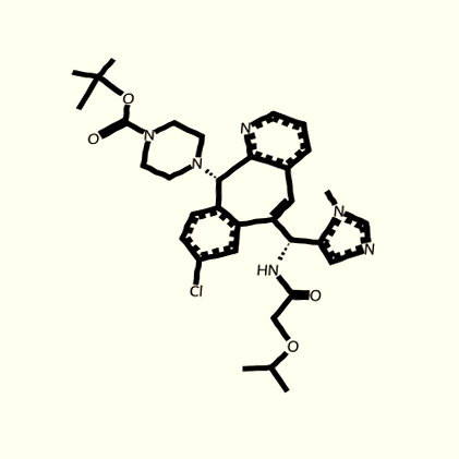 CC(C)OCC(=O)N[C@H](C1=Cc2cccnc2[C@@H](N2CCN(C(=O)OC(C)(C)C)CC2)c2ccc(Cl)cc21)c1cncn1C